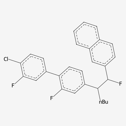 CCCCC(c1ccc(-c2ccc(Cl)c(F)c2)c(F)c1)C(F)c1ccc2ccccc2c1